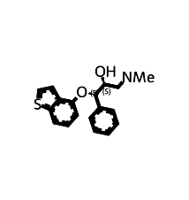 CNC[C@H](O)[C@@H](Oc1cccc2sccc12)c1ccccc1